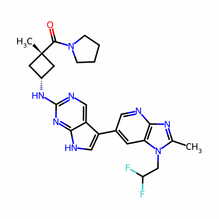 Cc1nc2ncc(-c3c[nH]c4nc(N[C@H]5C[C@@](C)(C(=O)N6CCCC6)C5)ncc34)cc2n1CC(F)F